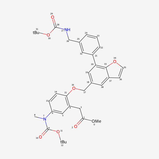 COC(=O)Cc1cc(N(C)C(=O)OC(C)(C)C)ccc1OCc1cc(-c2cccc(CNC(=O)OC(C)(C)C)c2)c2occc2c1